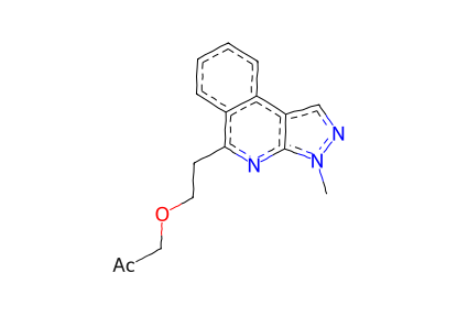 CC(=O)COCCc1nc2c(cnn2C)c2ccccc12